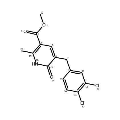 COC(=O)c1cc(Cc2ccc(Cl)c(Cl)c2)c(=O)[nH]c1C